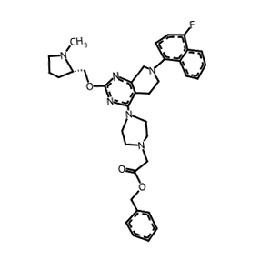 CN1CCC[C@H]1COc1nc2c(c(N3CCN(CC(=O)OCc4ccccc4)CC3)n1)CCN(c1ccc(F)c3ccccc13)C2